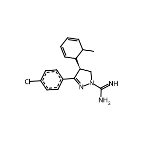 CC1C=CC=CC1[C@H]1CN(C(=N)N)N=C1c1ccc(Cl)cc1